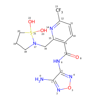 Nc1nonc1NC(=O)c1ccc(C(F)(F)F)nc1CN1CCCS1(O)O